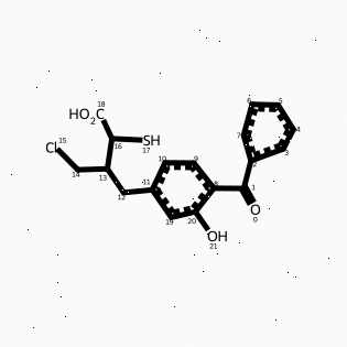 O=C(c1ccccc1)c1ccc(CC(CCl)C(S)C(=O)O)cc1O